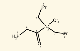 CC(C)C[N+]([O-])(CC(C)C)C(=O)CP